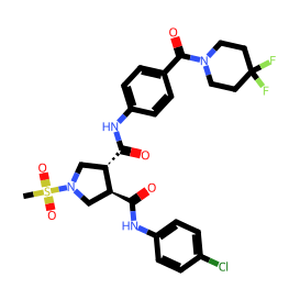 CS(=O)(=O)N1C[C@H](C(=O)Nc2ccc(Cl)cc2)[C@@H](C(=O)Nc2ccc(C(=O)N3CCC(F)(F)CC3)cc2)C1